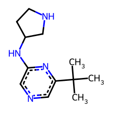 CC(C)(C)c1cncc(NC2CCNC2)n1